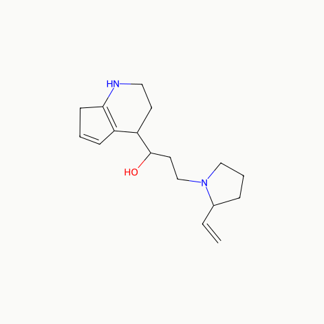 C=CC1CCCN1CCC(O)C1CCNC2=C1C=CC2